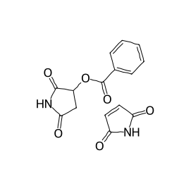 O=C1C=CC(=O)N1.O=C1CC(OC(=O)c2ccccc2)C(=O)N1